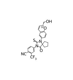 N#Cc1ccc(N2C(=O)C3(CCCC3)N(c3ccc4c(c3)C=C[C@@H](CO)O4)C2=S)cc1C(F)(F)F